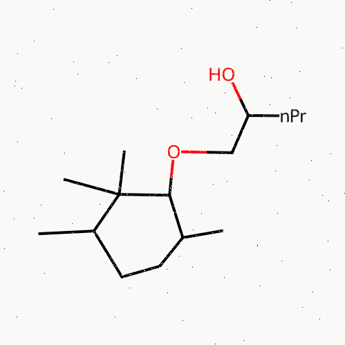 CCCC(O)COC1C(C)CCC(C)C1(C)C